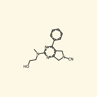 CN(CCO)c1nc2c(c(-c3ccccc3)n1)CN(C#N)C2